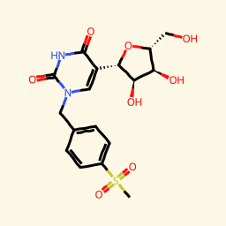 CS(=O)(=O)c1ccc(Cn2cc([C@@H]3O[C@H](CO)[C@@H](O)[C@H]3O)c(=O)[nH]c2=O)cc1